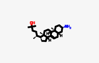 C[C@H](CCC(C)(C)O)[C@H]1CC[C@H]2C3=CC[C@@H]4C[C@@H](N)CC[C@]4(C)[C@H]3CC[C@]12C